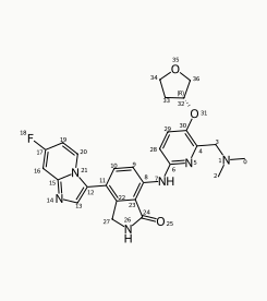 CN(C)Cc1nc(Nc2ccc(-c3cnc4cc(F)ccn34)c3c2C(=O)NC3)ccc1O[C@@H]1CCOC1